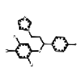 Fc1ccc(C(CCn2ccnc2)Sc2cc(Cl)c(Cl)cc2Cl)cc1